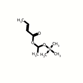 CC=CC(=O)OC(C)O[Si](C)(C)C